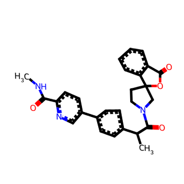 CNC(=O)c1ccc(-c2ccc(C(C)C(=O)N3CCC4(C3)OC(=O)c3ccccc34)cc2)cn1